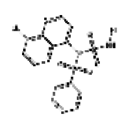 CCNS(=O)(=O)N(c1ccnc2c(Cl)cccc12)S(=O)(=O)c1ccccc1